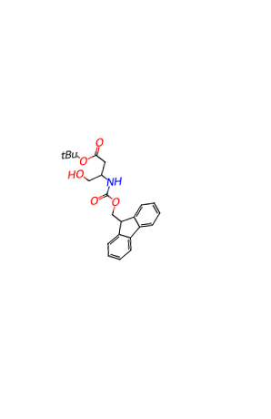 CC(C)(C)OC(=O)CC(CO)NC(=O)OCC1c2ccccc2-c2ccccc21